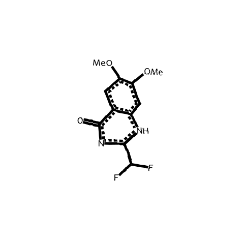 COc1cc2[nH]c(C(F)F)nc(=O)c2cc1OC